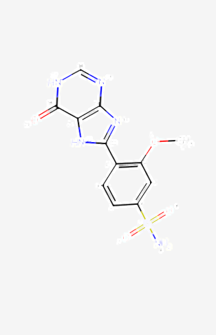 COc1cc(S(N)(=O)=O)ccc1-c1nc2nc[nH]c(=O)c2[nH]1